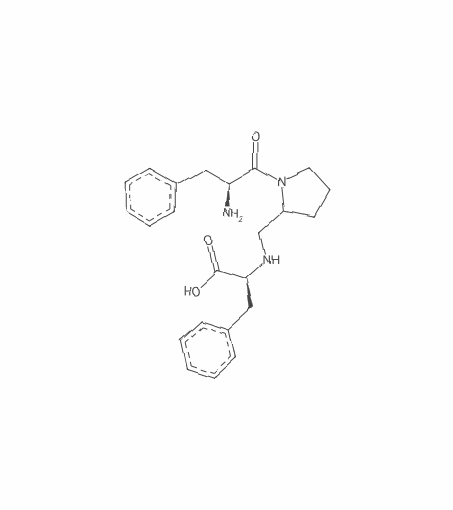 N[C@@H](Cc1ccccc1)C(=O)N1CCCC1CN[C@@H](Cc1ccccc1)C(=O)O